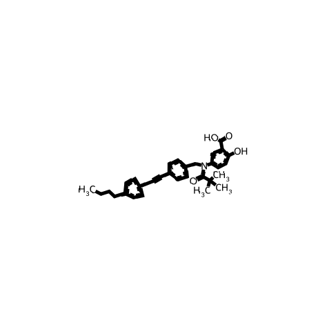 CCCCc1ccc(C#Cc2ccc(CN(C(=O)C(C)(C)C)c3ccc(O)c(C(=O)O)c3)cc2)cc1